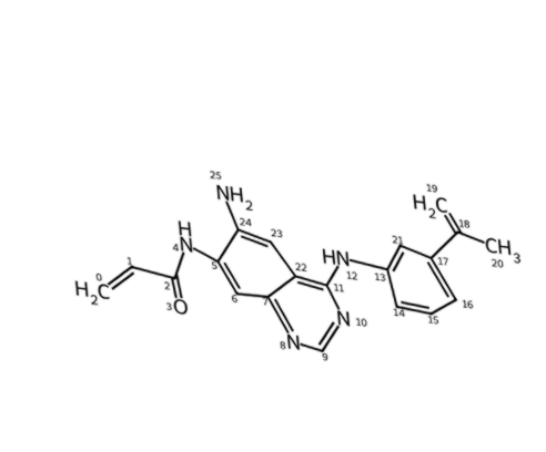 C=CC(=O)Nc1cc2ncnc(Nc3cccc(C(=C)C)c3)c2cc1N